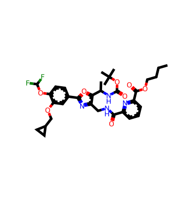 CCCCOC(=O)c1cccc(C(=O)NCc2nc(-c3ccc(OC(F)F)c(OCC4CC4)c3)oc2C(C)NC(=O)OC(C)(C)C)n1